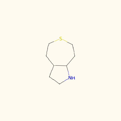 C1CC2CCSCCC2N1